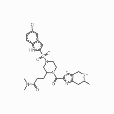 CC1Cc2nc(C(=O)N3CCN(S(=O)(=O)c4cc5cc(Cl)ccc5[nH]4)CC3CCC(=O)N(C)C)sc2CN1